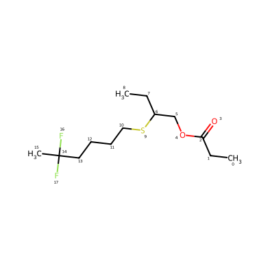 CCC(=O)OCC(CC)SCCCCC(C)(F)F